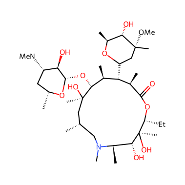 CC[C@H]1OC(=O)[C@H](C)[C@@H](C2C[C@@](C)(OC)[C@@H](O)[C@H](C)O2)[C@H](C)[C@@H](O[C@@H]2O[C@H](C)C[C@H](NC)[C@H]2O)[C@](C)(O)C[C@@H](C)CN(C)[C@H](C)[C@@H](O)[C@]1(C)O